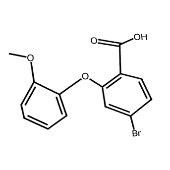 COc1ccccc1Oc1cc(Br)ccc1C(=O)O